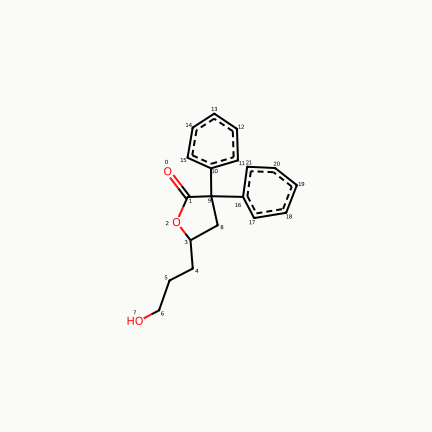 O=C1OC(CCCO)CC1(c1ccccc1)c1ccccc1